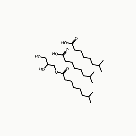 CC(C)CCCCCC(=O)O.CC(C)CCCCCC(=O)O.CC(C)CCCCCC(=O)OCC(O)CO